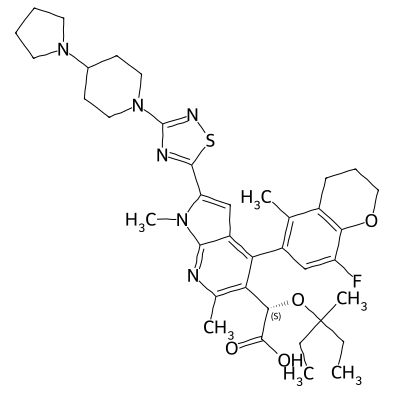 CCC(C)(CC)O[C@H](C(=O)O)c1c(C)nc2c(cc(-c3nc(N4CCC(N5CCCC5)CC4)ns3)n2C)c1-c1cc(F)c2c(c1C)CCCO2